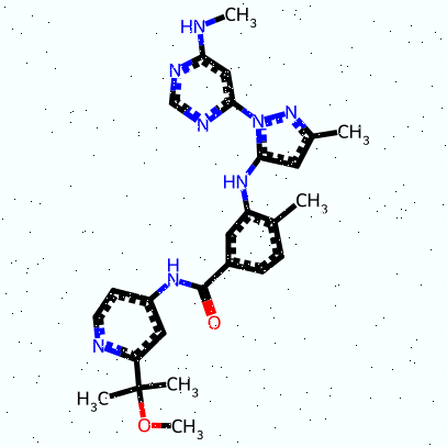 CNc1cc(-n2nc(C)cc2Nc2cc(C(=O)Nc3ccnc(C(C)(C)OC)c3)ccc2C)ncn1